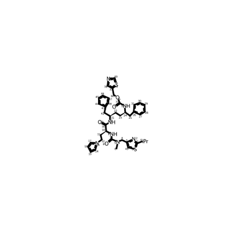 CC(C)c1nc(CN(C)C(=O)N[C@@H](CCn2cccc2)C(=O)N[C@H](CC[C@H](Cc2ccccc2)NC(=O)OCc2cncs2)Cc2ccccc2)cs1